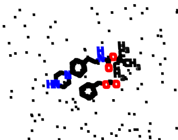 CC(C)(C)OC(=O)NCCc1ccc(N2CCNCC2)cc1.O=COCc1ccccc1